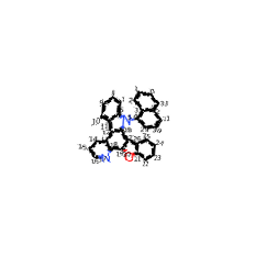 c1ccc2c(-n3c4ccccc4c4c5cccnc5c5oc6ccccc6c5c43)cccc2c1